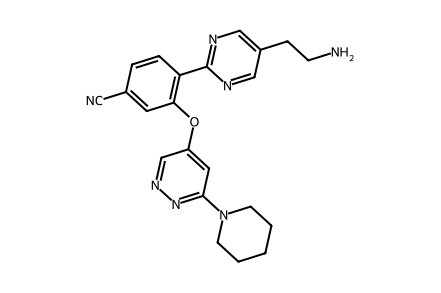 N#Cc1ccc(-c2ncc(CCN)cn2)c(Oc2cnnc(N3CCCCC3)c2)c1